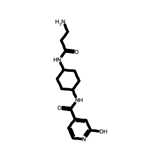 NCCC(=O)NC1CCC(NC(=O)c2ccnc(O)c2)CC1